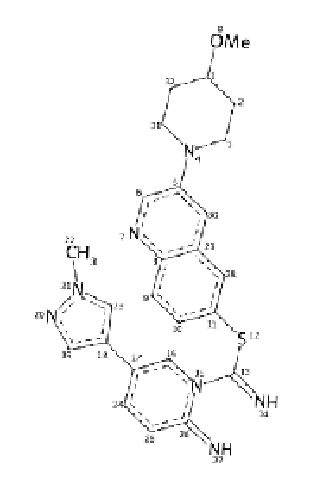 COC1CCN(c2cnc3ccc(SC(=N)n4cc(-c5cnn(C)c5)ccc4=N)cc3c2)CC1